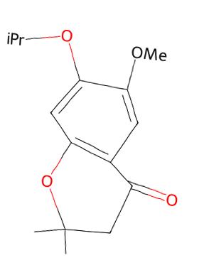 COc1cc2c(cc1OC(C)C)OC(C)(C)CC2=O